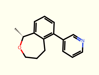 C[C@H]1OCCCc2c(-c3cccnc3)cccc21